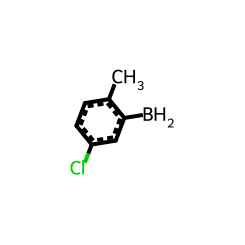 Bc1cc(Cl)ccc1C